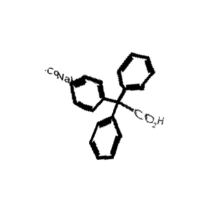 O=C(O)C(c1ccccc1)(c1ccccc1)c1ccccc1.[Co].[NaH]